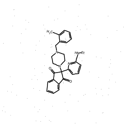 CCNc1cccc(C2(N3CCN(Cc4ccccc4C)CC3)C(=O)c3ccccc3C2=O)n1